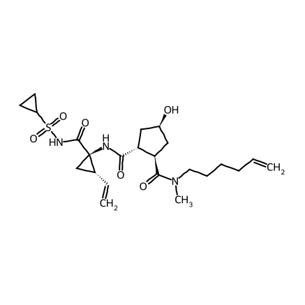 C=CCCCCN(C)C(=O)[C@@H]1C[C@H](O)C[C@H]1C(=O)N[C@]1(C(=O)NS(=O)(=O)C2CC2)C[C@H]1C=C